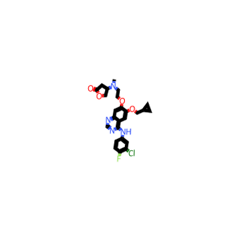 CN(CCOc1cc2ncnc(Nc3ccc(F)c(Cl)c3)c2cc1OCC1CC1)C1COC(=O)C1